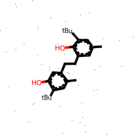 Cc1cc(CCc2cc(O)c(C(C)(C)C)cc2C)c(O)c(C(C)(C)C)c1